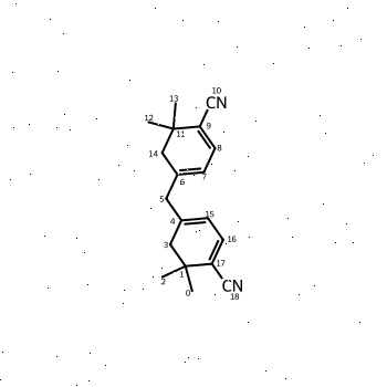 CC1(C)CC(CC2=CC=C(C#N)C(C)(C)C2)=CC=C1C#N